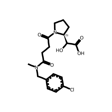 CN(Cc1ccc(Cl)cc1)C(=O)CCC(=O)N1CCC[C@H]1C(O)C(=O)O